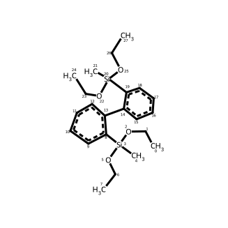 CCO[Si](C)(OCC)c1ccccc1-c1ccccc1[Si](C)(OCC)OCC